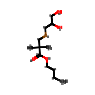 CC(C)(CSCC(O)CO)C(=O)OCCCS(=O)(=O)O